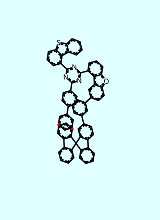 c1ccc(-c2ccc(-c3nc(-c4cccc5oc6ccc(-c7cccc(-c8ccc9c(c8)C8(c%10ccccc%10-c%10ccccc%108)c8ccccc8-9)c7)cc6c45)nc(-c4cccc5sc6ccccc6c45)n3)cc2)cc1